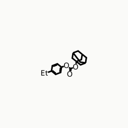 CCc1ccc(OC(=O)OC23CC4CC(CC(C4)C2)C3)cc1